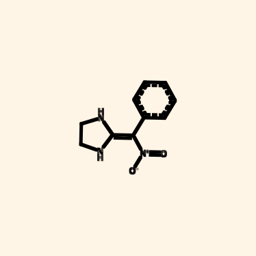 O=[N+]([O-])C(=C1NCCN1)c1ccccc1